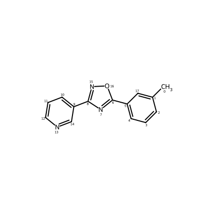 Cc1cccc(-c2nc(-c3cccnc3)no2)c1